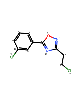 ClCCc1noc(-c2cccc(Cl)c2)n1